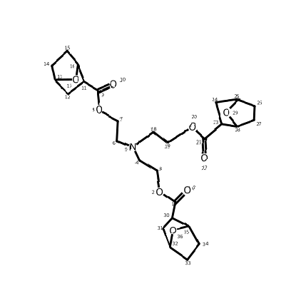 O=C(OCCN(CCOC(=O)C1CC2CCC1O2)CCOC(=O)C1CC2CCC1O2)C1CC2CCC1O2